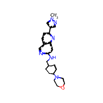 Cn1cc(-c2ccc3cnc(NCC4CCC(N5CCOCC5)CC4)cc3n2)cn1